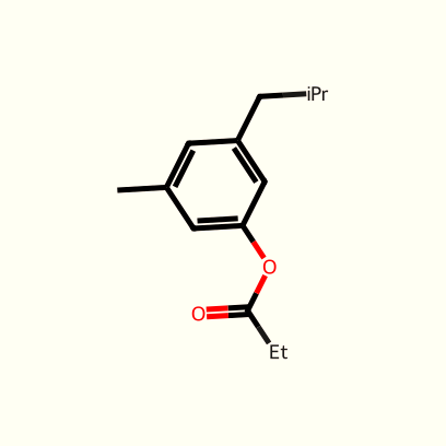 CCC(=O)Oc1cc(C)cc(CC(C)C)c1